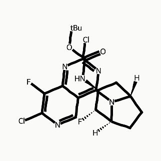 CC(C)(C)OC(=O)N[C@H]1C[C@@H]2CC[C@@H]([C@@H]1F)N2c1nc(Cl)nc2c(F)c(Cl)ncc12